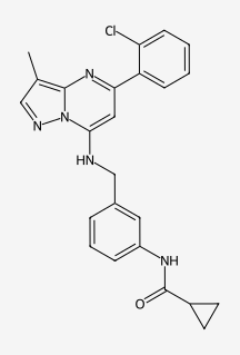 Cc1cnn2c(NCc3cccc(NC(=O)C4CC4)c3)cc(-c3ccccc3Cl)nc12